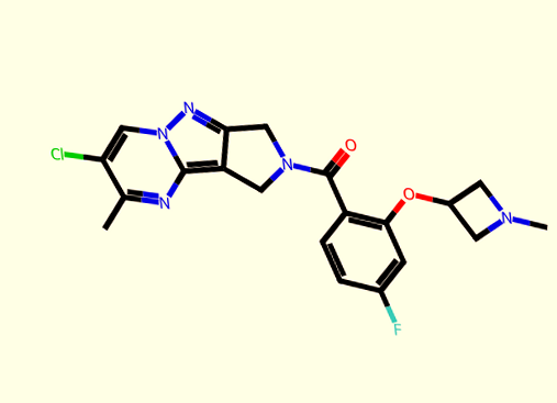 Cc1nc2c3c(nn2cc1Cl)CN(C(=O)c1ccc(F)cc1OC1CN(C)C1)C3